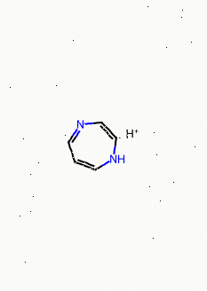 [C]1=CN=CC=CN1.[H+]